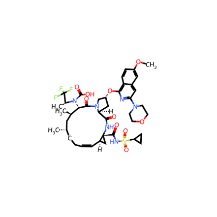 COc1ccc2c(O[C@@H]3C[C@H]4C(=O)N[C@]5(C(=O)NS(=O)(=O)C6CC6)C[C@H]5/C=C\CC[C@H](C)C[C@@H](C)[C@H](N(C(=O)O)[C@H](C)C(F)(F)F)C(=O)N4C3)nc(N3CCOCC3)cc2c1